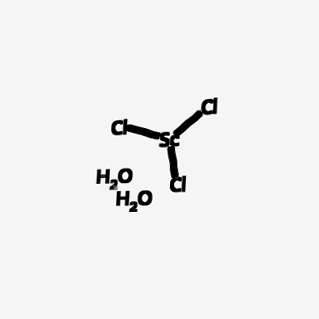 O.O.[Cl][Sc]([Cl])[Cl]